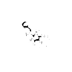 Nc1c(N)[n+]([O-])c(NCc2ccco2)[n+]([O-])c1N